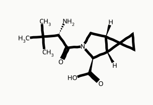 CC(C)(C)[C@H](N)C(=O)N1C[C@H]2[C@@H]([C@H]1C(=O)O)C21CC1